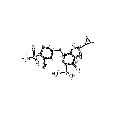 CC(C)c1cn(Cc2ccc(S(N)(=O)=O)c(Br)c2)c2nc(C3CC3)nn2c1=O